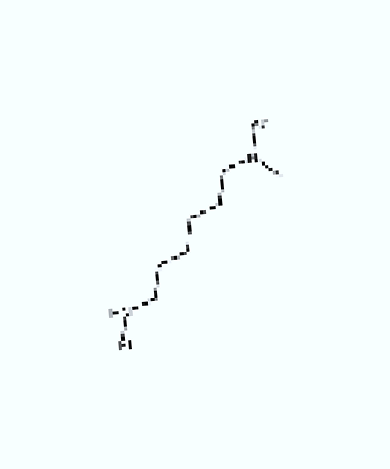 CCNCCCCCCN(C)C(C)=O